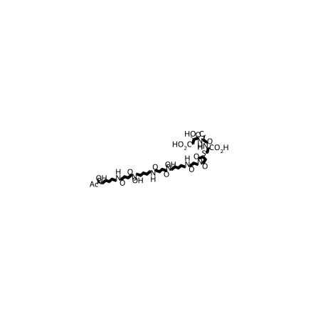 CC(=O)N(O)CCCCCNC(=O)CCC(=O)N(O)CCCCCNC(=O)CCC(=O)N(O)CCCCCNC(=O)CCN1C(=O)CC(SC[C@H](NC(=O)[C@H](CC(=O)O)NC(=O)[C@@H](C)CC(=O)O)C(=O)O)C1=O